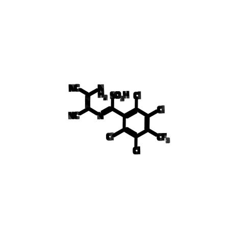 N#CC(N)=C(C#N)N=C(c1c(Cl)c(Cl)c(C(F)(F)F)c(Cl)c1Cl)S(=O)(=O)O